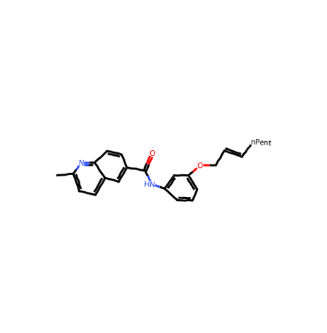 CCCCCC=CCOc1cccc(NC(=O)c2ccc3nc(C)ccc3c2)c1